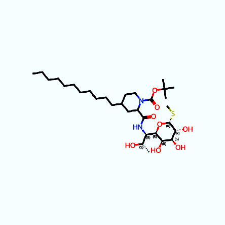 CCCCCCCCCCCC1CCN(C(=O)OC(C)(C)C)C(C(=O)N[C@@H]([C@H]2O[C@H](SC)[C@H](O)[C@@H](O)[C@H]2O)[C@H](C)O)C1